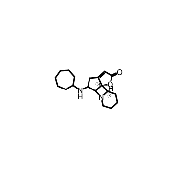 O=C1C=C2CC(NC3CCCCCC3)C3N4CCCC[C@@H]4[C@@]23O1